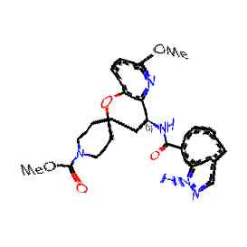 COC(=O)N1CCC2(CC1)C[C@H](NC(=O)c1cccc3cn[nH]c13)c1nc(OC)ccc1O2